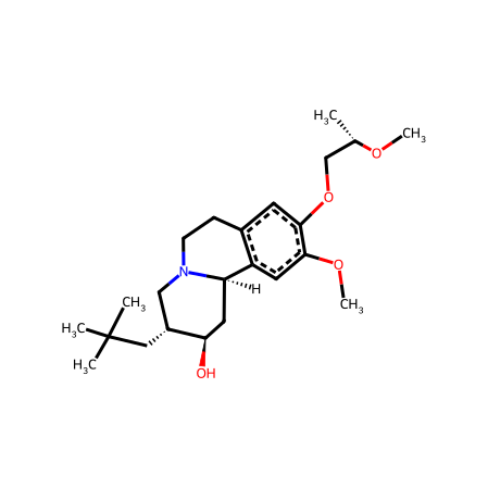 COc1cc2c(cc1OC[C@H](C)OC)CCN1C[C@@H](CC(C)(C)C)[C@H](O)C[C@H]21